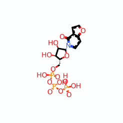 O=c1c2ccoc2ccn1[C@@H]1O[C@H](COP(=O)(O)OP(=O)(O)OP(=O)(O)O)[C@@H](O)[C@H]1O